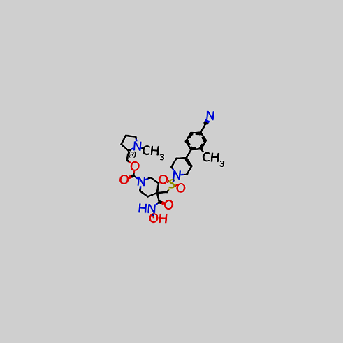 Cc1cc(C#N)ccc1C1=CCN(S(=O)(=O)CC2(C(=O)NO)CCN(C(=O)OC[C@H]3CCCN3C)CC2)CC1